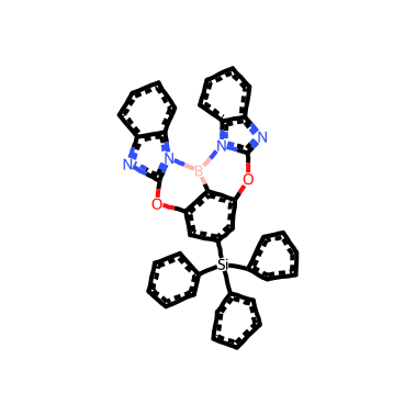 c1ccc([Si](c2ccccc2)(c2ccccc2)c2cc3c4c(c2)Oc2nc5ccccc5n2B4n2c(nc4ccccc42)O3)cc1